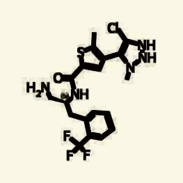 Cc1sc(C(=O)N[C@H](CN)Cc2ccccc2C(F)(F)F)cc1C1=C(Cl)NNN1C